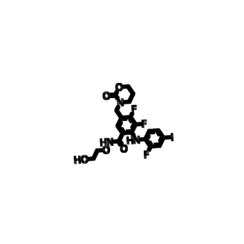 O=C(NOCCO)c1cc(CN2CCCOC2=O)c(F)c(F)c1Nc1ccc(I)cc1F